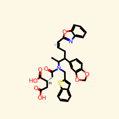 CC(C(C/C=C\c1nc2ccccc2o1)c1ccc2c(c1)OCO2)N(Cc1cc2ccccc2s1)C(=O)C[C@H](CC(=O)O)C(=O)O